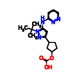 CC(C)(C)n1nc(C2CCC(OC(=O)O)C2)cc1Nc1cccnn1